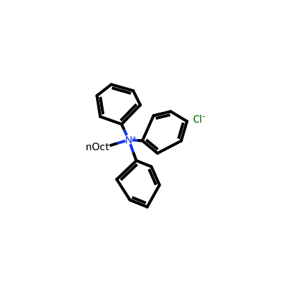 CCCCCCCC[N+](c1ccccc1)(c1ccccc1)c1ccccc1.[Cl-]